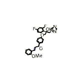 COc1ccccc1/C=C/C(=O)c1ccc(OCC(O)(Cn2cncn2)c2ccc(F)cc2F)cc1